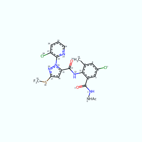 CC(=O)NNC(=O)c1cc(Cl)cc(C)c1NC(=O)c1cc(SC(F)(F)F)nn1-c1ncccc1Cl